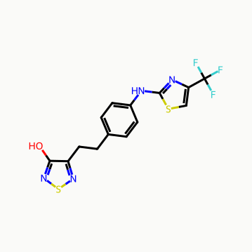 Oc1nsnc1CCc1ccc(Nc2nc(C(F)(F)F)cs2)cc1